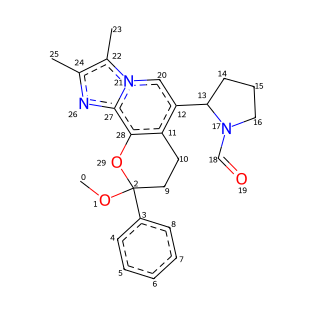 COC1(c2ccccc2)CCc2c(C3CCCN3C=O)cn3c(C)c(C)nc3c2O1